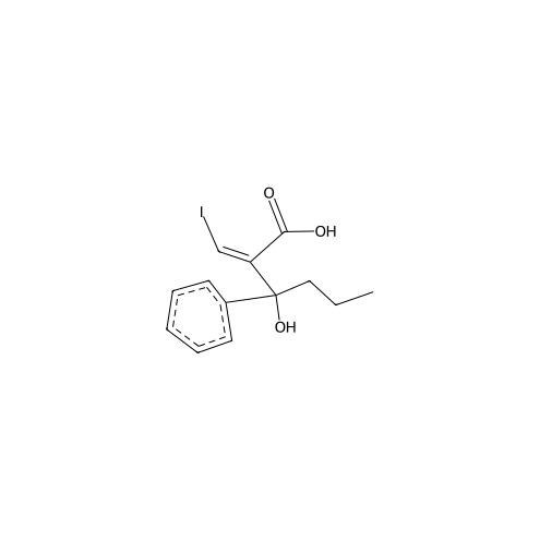 CCCC(O)(C(=CI)C(=O)O)c1ccccc1